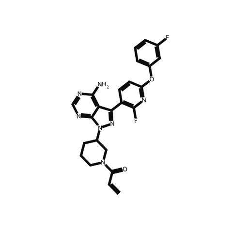 C=CC(=O)N1CCCC(n2nc(-c3ccc(Oc4cccc(F)c4)nc3F)c3c(N)ncnc32)C1